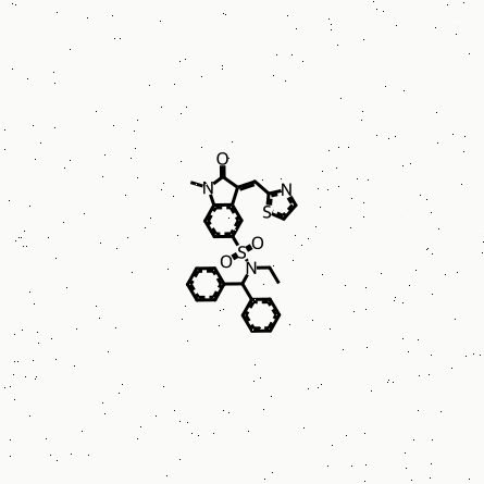 CCN(C(c1ccccc1)c1ccccc1)S(=O)(=O)c1ccc2c(c1)/C(=C\c1nccs1)C(=O)N2C